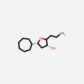 CCCC1O[C@@H](C2CCCCCC2)C[C@H]1O